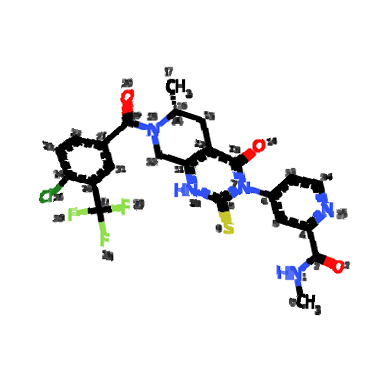 CNC(=O)c1cc(-n2c(=S)[nH]c3c(c2=O)C[C@@H](C)N(C(=O)c2ccc(Cl)c(C(F)(F)F)c2)C3)ccn1